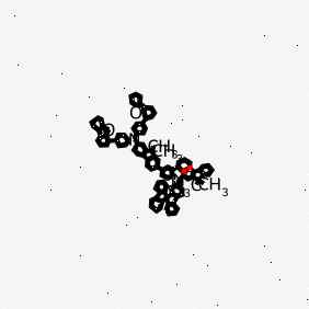 CC1(C)c2cc(-c3ccc(N(c4ccc5c(c4)C(C)(C)c4ccccc4-5)c4ccc5c(c4)C4(c6ccccc6-c6ccccc64)c4ccccc4-5)c(-c4ccccc4)c3)ccc2-c2ccc(N(c3ccc(-c4cccc5c4oc4ccccc45)cc3)c3ccc(-c4cccc5c4oc4ccccc45)cc3)cc21